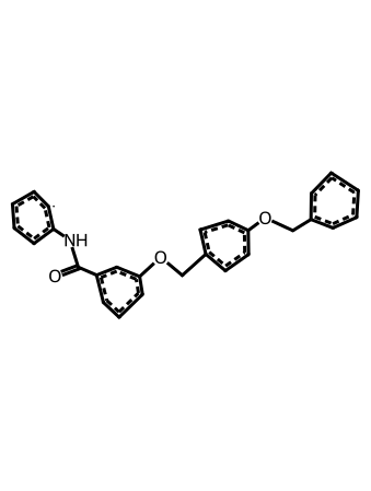 O=C(Nc1[c]cccc1)c1cccc(OCc2ccc(OCc3ccccc3)cc2)c1